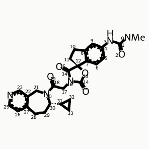 CNC(=O)Nc1ccc2c(c1)CC[C@]21OC(=O)N(CC(=O)N2Cc3cnccc3CC[C@H]2C2CC2)C1=O